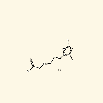 Cc1cn(CCCOCC(=O)O)c(C)n1.Cl